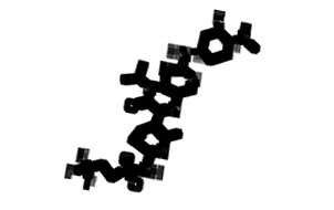 Cc1nc(NS(=O)(=O)CCC(F)(F)F)ccc1-c1nc2cnc(N[C@H]3CC[C@H](N(C)C)C(F)C3)nc2n(C(C)C)c1=O